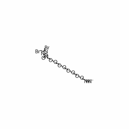 [N-]=[N+]=NCCOCCOCCOCCOCCOCCOCCOCCOCCN1Cc2nc(CBr)c(CBr)nc2C1=O